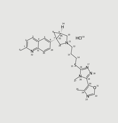 Cc1ccc2cc([C@]34C[C@H]3CN(CCCSc3nnc(-c5ocnc5C)n3C)C4)ccc2n1.Cl